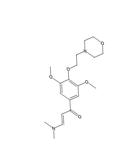 COc1cc(C(=O)C=CN(C)C)cc(OC)c1OCCN1CCOCC1